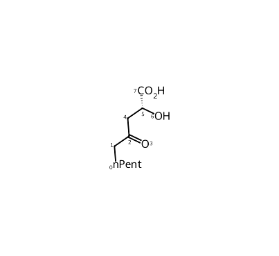 CCCCCCC(=O)C[C@@H](O)C(=O)O